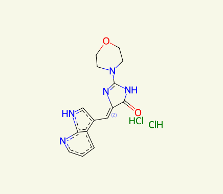 Cl.Cl.O=C1NC(N2CCOCC2)=N/C1=C\c1c[nH]c2ncccc12